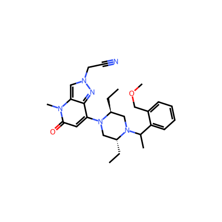 CC[C@H]1CN(C(C)c2ccccc2COC)[C@H](CC)CN1c1cc(=O)n(C)c2cn(CC#N)nc12